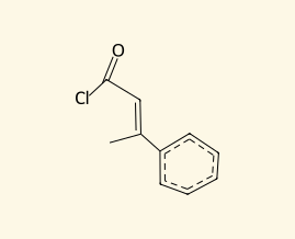 C/C(=C\C(=O)Cl)c1ccccc1